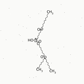 CCCCCCCCCCCOC(=O)CCCCCN1CC(O)C[C@H]1C(=O)OCCCCCCCC(=O)OC(CCCCCCCC)CCCCCCCC